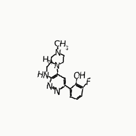 CN1CCN2c3cc(-c4cccc(F)c4O)nnc3NC[C@H]2C1